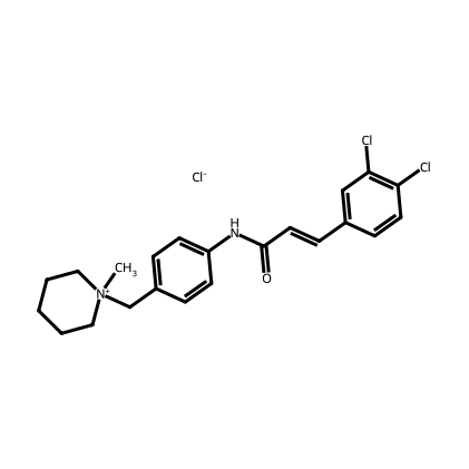 C[N+]1(Cc2ccc(NC(=O)C=Cc3ccc(Cl)c(Cl)c3)cc2)CCCCC1.[Cl-]